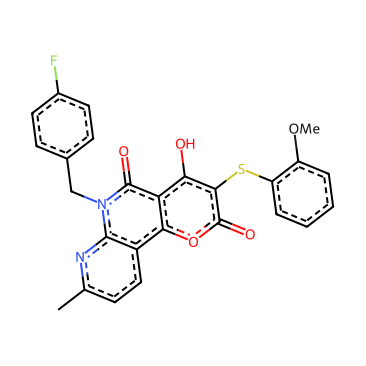 COc1ccccc1Sc1c(O)c2c(=O)n(Cc3ccc(F)cc3)c3nc(C)ccc3c2oc1=O